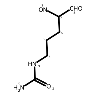 NC(=O)NCCCC(C=O)N=O